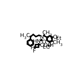 CCOc1cc(C(C)N(CCCC(C)c2ccccc2)C(=O)NC2(C(=O)O)CC(F)(F)C2)cc(OCC)c1C